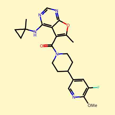 COc1ncc(C2CCN(C(=O)c3c(C)oc4ncnc(NC5(C)CC5)c34)CC2)cc1F